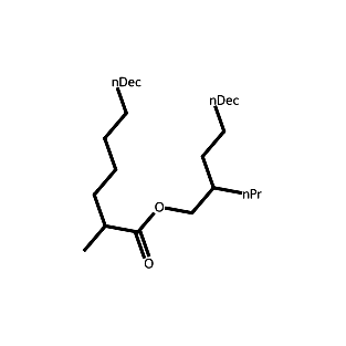 CCCCCCCCCCCCCCC(C)C(=O)OCC(CCC)CCCCCCCCCCCC